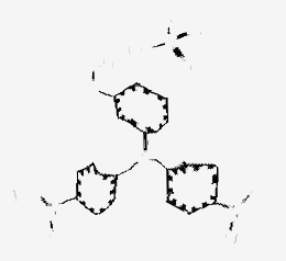 CN(C)c1ccc([S+](c2ccc(N(C)C)cc2)c2cccc(OC(C)(C)C)c2)cc1.CS(=O)(=O)[O-]